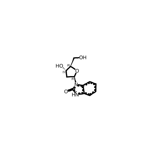 O=c1[nH]c2ccccc2n1[C@H]1C[C@H](O)[C@@H](CO)O1